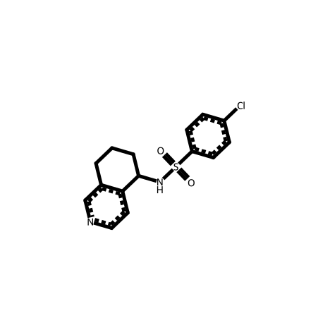 O=S(=O)(NC1CCCc2cnccc21)c1ccc(Cl)cc1